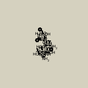 CC[C@H](C)[C@H](NC(=O)[C@H](CCC(=O)O)NC(=O)[C@H](CC(N)=O)NC(=O)[C@@H](NC(=O)[C@H](Cc1ccccc1)NC(=O)[C@H](CC(N)=O)NC(=O)[C@H](CC(C)C)NC(=O)[C@H](Cc1c[nH]c2ccccc12)NC(=O)[C@H](CO)NC(=O)[C@@H](N)Cc1ccccc1)[C@@H](C)O)C(=O)O